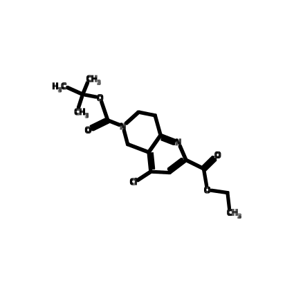 CCOC(=O)c1cc(Cl)c2c(n1)CCN(C(=O)OC(C)(C)C)C2